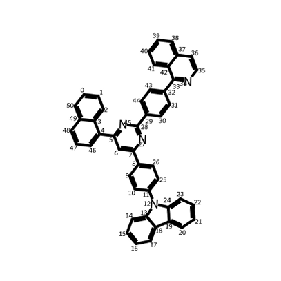 c1ccc2c(-c3cc(-c4ccc(-n5c6ccccc6c6ccccc65)cc4)nc(-c4ccc(-c5nccc6ccccc56)cc4)n3)cccc2c1